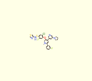 CN1CC(Oc2cc(F)c(SNc3cscn3)cc2Cl)=C(c2cncc(N3CCCC3)c2)C=C1c1cccc(F)c1